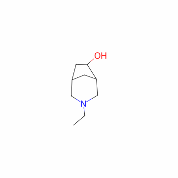 CCN1CC2CC(O)C(C2)C1